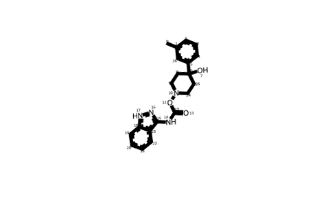 Cc1cccc(C2(O)CCN(OC(=O)Nc3n[nH]c4ccccc34)CC2)c1